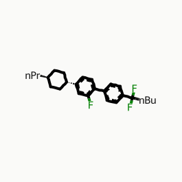 CCCCC(F)(F)c1ccc(-c2ccc([C@H]3CC[C@H](CCC)CC3)cc2F)cc1